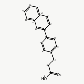 O=C(O)CCc1ccc(-c2ccc3ccccc3c2)cc1